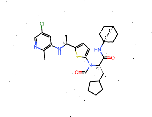 Cc1ncc(Cl)cc1N[C@@H](C)c1ccc(N(C=O)[C@@H](CC2CCCC2)C(=O)NC23CCC(CC2)CC3)s1